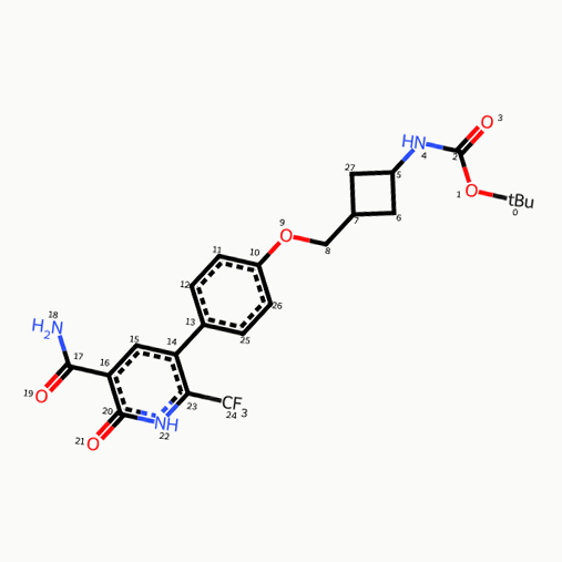 CC(C)(C)OC(=O)NC1CC(COc2ccc(-c3cc(C(N)=O)c(=O)[nH]c3C(F)(F)F)cc2)C1